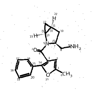 Cc1cc(C(=O)N2[C@H](CN)C[C@@H]3C[C@@H]32)c(-c2ccccc2)o1